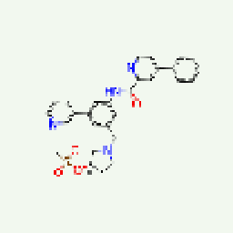 Cc1ccc(-c2cc(CN3CC[C@@H](OS(C)(=O)=O)C3)cc(NC(=O)c3cc(-c4ccccc4)ccn3)c2)cn1